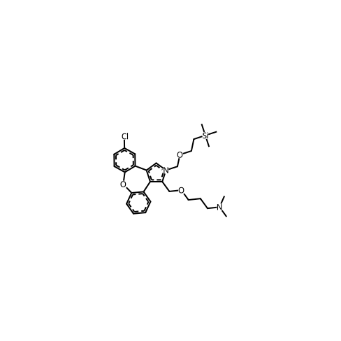 CN(C)CCCOCc1c2c(cn1COCC[Si](C)(C)C)-c1cc(Cl)ccc1Oc1ccccc1-2